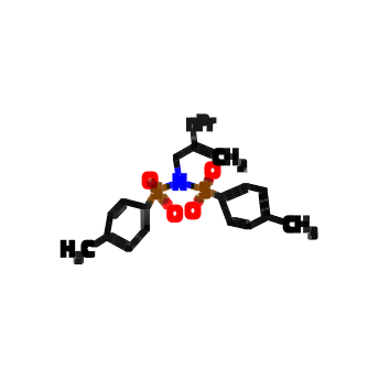 C=C(CCC)CN(S(=O)(=O)c1ccc(C)cc1)S(=O)(=O)c1ccc(C)cc1